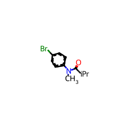 CC(C)C(=O)N(C)c1ccc(Br)cc1